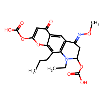 CCCc1c2c(cc3c(=O)cc(OC(=O)O)oc13)C(=NOC)CC(OC(=O)O)N2CC